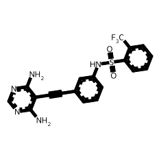 Nc1ncnc(N)c1C#Cc1cccc(NS(=O)(=O)c2ccccc2C(F)(F)F)c1